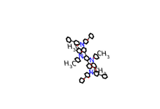 Cc1ccc(N(c2ccc(C)cc2)c2cc(-c3ccc(N(c4ccc(-c5ccccc5)cc4)c4ccc(-c5ccccc5)cc4)cc3)c(N(c3ccc(C)cc3)c3ccc(C)cc3)cc2-c2ccc(N(c3ccc(-c4ccccc4)cc3)c3ccc(-c4ccccc4)cc3)cc2)cc1